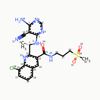 C[C@H](Nc1ncnc(N)c1C#N)c1nc2c(Cl)cccc2cc1C(=O)NCCCS(C)(=O)=O